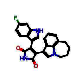 O=C1NC(=O)C(c2cn3c4c(cccc24)CCCC3)=C1c1c[nH]c2cc(F)ccc12